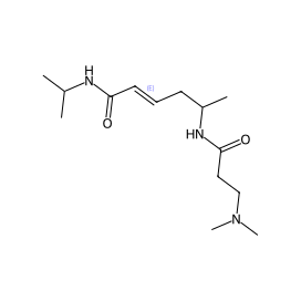 CC(C)NC(=O)/C=C/CC(C)NC(=O)CCN(C)C